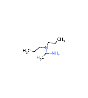 CCCN(CCC)C(C)N